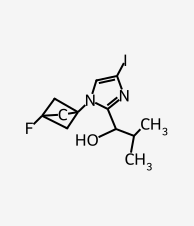 CC(C)C(O)c1nc(I)cn1C12CC(F)(C1)C2